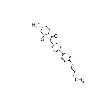 CCCCCc1ccc(-c2ccc(CC(=O)C3CCC(C)CC3=O)cc2)cc1